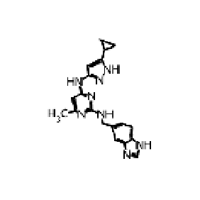 Cc1cc(Nc2cc(C3CC3)[nH]n2)nc(NCc2ccc3[nH]cnc3c2)n1